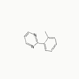 Cc1ccccc1-c1ncccn1